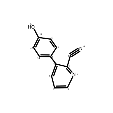 N#Cc1ncccc1-c1ccc(O)cc1